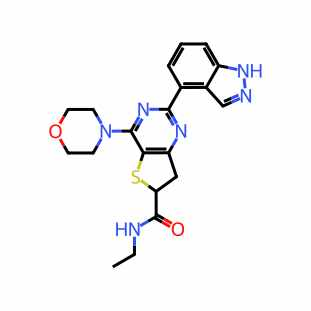 CCNC(=O)C1Cc2nc(-c3cccc4[nH]ncc34)nc(N3CCOCC3)c2S1